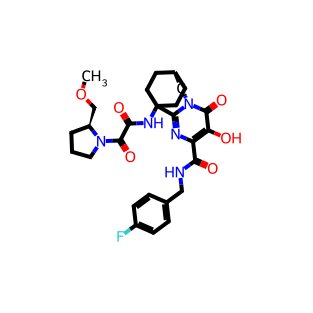 COC[C@@H]1CCCN1C(=O)C(=O)NC12CCC(CC1)Cn1c2nc(C(=O)NCc2ccc(F)cc2)c(O)c1=O